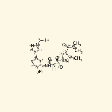 CC(C)c1ccc(-c2cnn(CI)c2)cc1NC(=O)NS(=O)(=O)c1cc(C(=O)N(C)C)n(C)n1